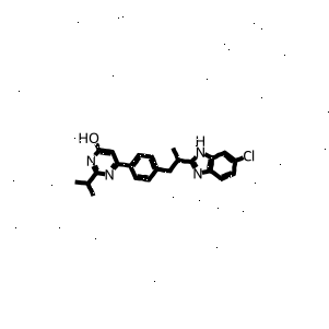 CC(C)c1nc(O)cc(-c2ccc(CC(C)c3nc4ccc(Cl)cc4[nH]3)cc2)n1